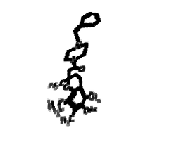 CC(=O)Oc1c(C)c(C)c2c(c1C)CCC(C)(CC(=O)N1CCN(Cc3ccccc3)CC1)O2